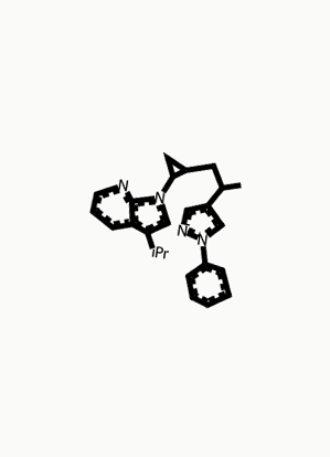 CC(C)c1cn(C2CC2CC(C)c2cnn(-c3ccccc3)c2)c2ncccc12